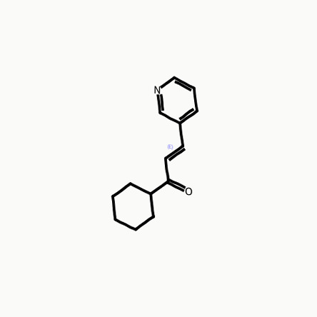 O=C(/C=C/c1cccnc1)C1CCCCC1